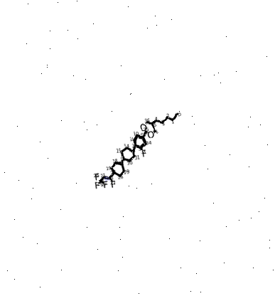 CCCCCC1COC(c2ccc(C3CCC(C4CCC(/C(F)=C/C(F)(F)F)CC4)CC3)c(F)c2)OC1